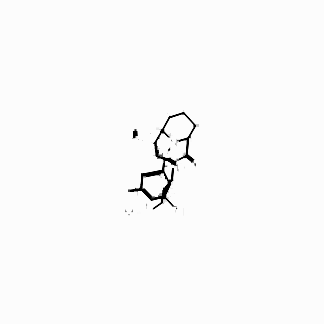 C=C[C@H]1CN(CCCOC)C(=O)C2CCCC1N2S(=O)(=O)c1cc(Cl)cc(Cl)c1